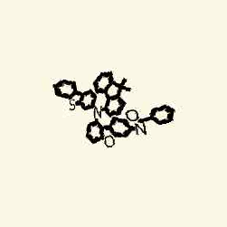 CC1(C)c2ccccc2-c2c(N(c3ccc4c(c3)sc3ccccc34)c3cccc4oc5cc6nc(-c7ccccc7)oc6cc5c34)cccc21